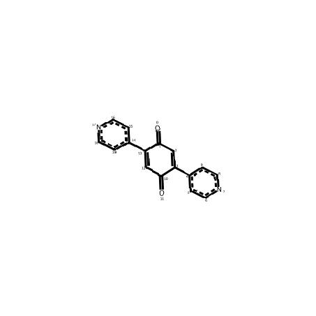 O=C1C=C(c2ccncc2)C(=O)C=C1c1ccncc1